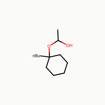 CCCCC1(OC(C)O)CCCCC1